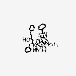 CC(C)[C@H](NC(=O)N(C)Cc1csc(C2=CCCCC2)n1)C(=O)N[C@@H](Cc1ccccc1)C[C@@H](O)CCc1ccccc1